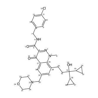 Cn1nc(C(=O)NCc2ccc(Cl)cc2)c(=O)c2cc(CN3CCOCC3)cc(CCC(O)(C3CC3)C3CC3)c21